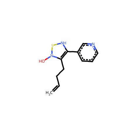 C=CCCC1=C(c2cccnc2)NSN1O